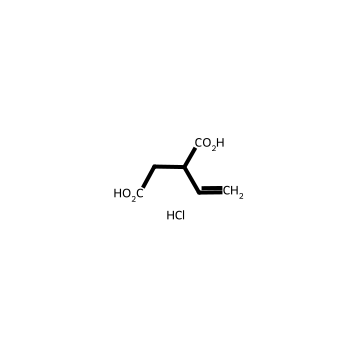 C=CC(CC(=O)O)C(=O)O.Cl